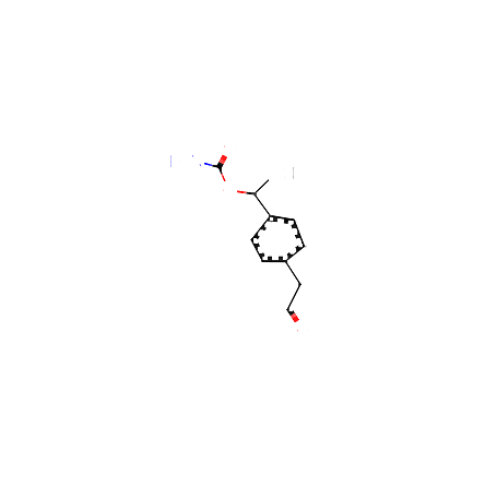 CC(OC(N)=O)c1ccc(CC=O)cc1